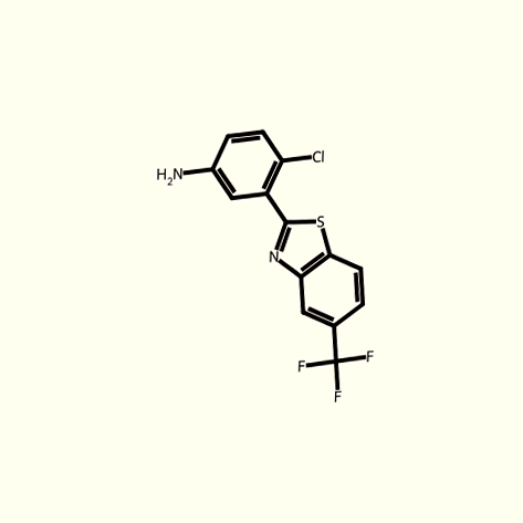 Nc1ccc(Cl)c(-c2nc3cc(C(F)(F)F)ccc3s2)c1